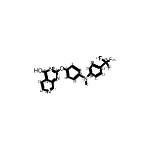 CN(c1ccc(Oc2nc(O)c3ccncc3n2)cc1)c1ccc(C(F)(F)F)cc1